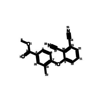 COC(=O)c1ccc(Oc2cccc(C#N)c2C#N)c(C)c1